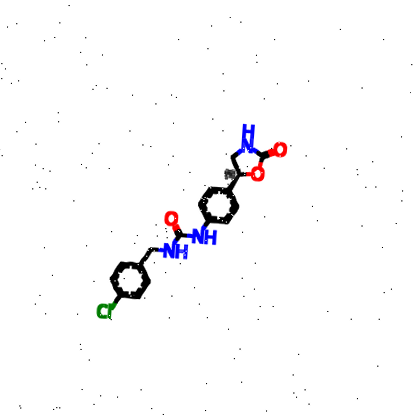 O=C(NCc1ccc(Cl)cc1)Nc1ccc([C@H]2CNC(=O)O2)cc1